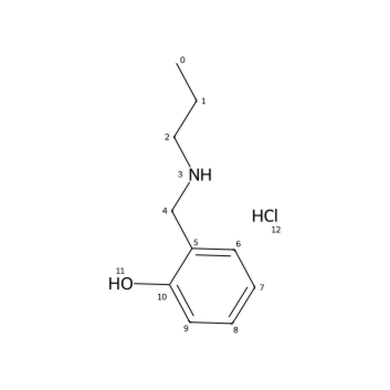 CCCNCc1ccccc1O.Cl